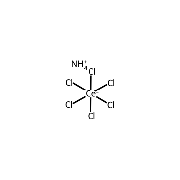 [Cl][Ce-]([Cl])([Cl])([Cl])([Cl])[Cl].[NH4+]